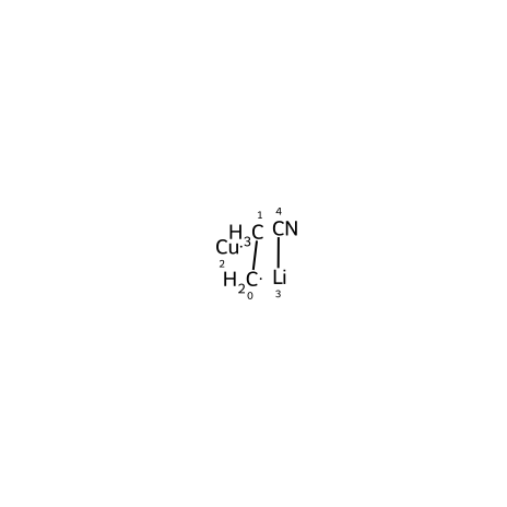 [CH2]C.[Cu].[Li][C]#N